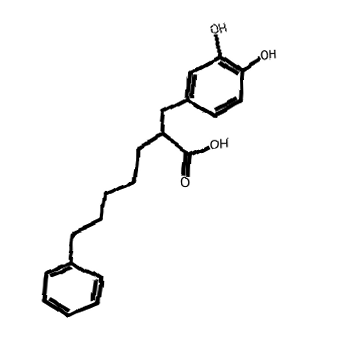 O=C(O)C(CCCCCc1ccccc1)Cc1ccc(O)c(O)c1